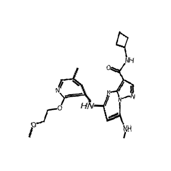 CNc1cc(Nc2cc(C)cnc2OCCOC)nc2c(C(=O)NC3CCC3)cnn12